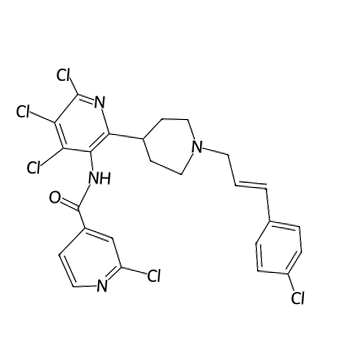 O=C(Nc1c(C2CCN(CC=Cc3ccc(Cl)cc3)CC2)nc(Cl)c(Cl)c1Cl)c1ccnc(Cl)c1